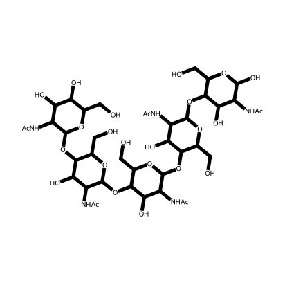 CC(=O)NC1C(O)OC(CO)C(OC2OC(CO)C(OC3OC(CO)C(OC4OC(CO)C(OC5OC(CO)C(O)C(O)C5NC(C)=O)C(O)C4NC(C)=O)C(O)C3NC(C)=O)C(O)C2NC(C)=O)C1O